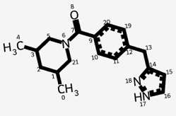 CC1CC(C)CN(C(=O)c2ccc(Cc3cc[nH]n3)cc2)C1